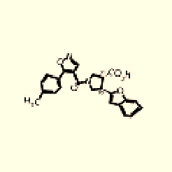 Cc1ccc(-c2oncc2C(=O)N2C[C@H](C(=O)O)[C@@H](c3cc4ccccc4o3)C2)cc1